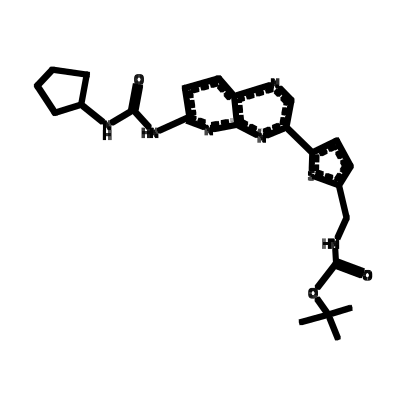 CC(C)(C)OC(=O)NCc1ccc(-c2cnc3ccc(NC(=O)NC4CCCC4)nc3n2)s1